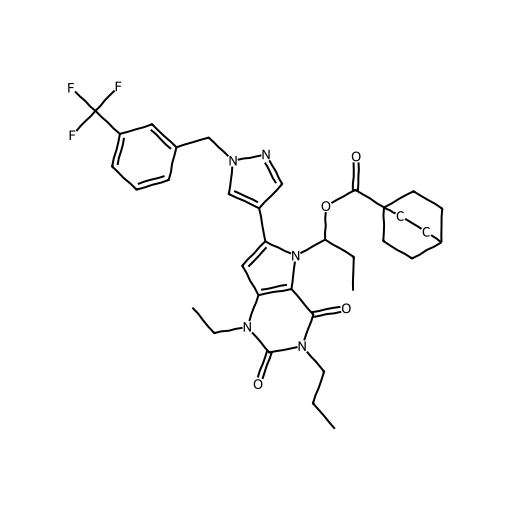 CCCn1c(=O)c2c(cc(-c3cnn(Cc4cccc(C(F)(F)F)c4)c3)n2C(CC)OC(=O)C23CCC(CC2)CC3)n(CC)c1=O